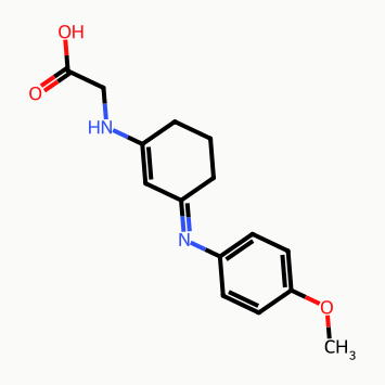 COc1ccc(/N=C2/C=C(NCC(=O)O)CCC2)cc1